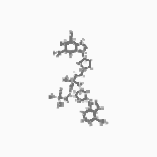 Nc1nc2c(ncn2[C@H]2CC[C@@H](COP(=O)(S)O[C@@H]3C[C@H](n4cnc5c(N)ncnc54)O[C@@H]3COP(=O)(O)S)O2)c(=O)[nH]1